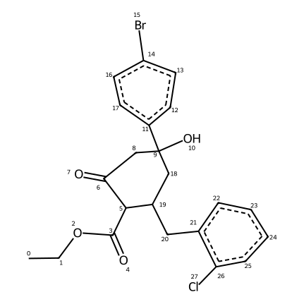 CCOC(=O)C1C(=O)CC(O)(c2ccc(Br)cc2)CC1Cc1ccccc1Cl